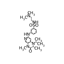 CC(C)N1c2cc(Nc3cccc(S(=O)(=O)NCCN(C)C)c3)ncc2N(C)C(=O)C1C